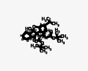 CC(C)c1ccc2c(c1)OC1(O)c3ccccc3C(=O)C21N(C(=O)OC(C)(C)C)/C(N)=N/C(=O)OC(C)(C)C